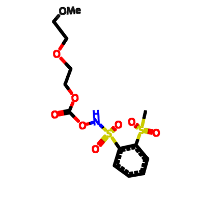 COCCOCCOC(=O)ONS(=O)(=O)c1ccccc1S(C)(=O)=O